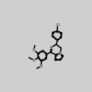 COc1cc(C2=NC(c3ccc(Cl)cc3)Cn3cccc32)cc(OC)c1OC